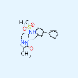 Cc1cn2n(c1=O)[C@@H](Cc1cccc(-c3ccccc3)c1)[C@@H](NS(C)(=O)=O)CC2